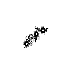 CCN(c1ccc(F)cc1)c1ccc(NC(=O)NC(=O)c2ccccc2Cl)cc1